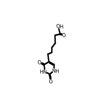 O=C(O)CCCCCc1c[nH]c(=O)[nH]c1=O